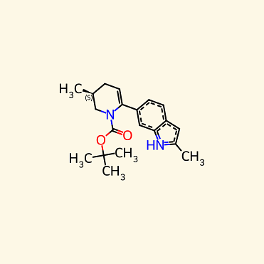 Cc1cc2ccc(C3=CC[C@H](C)CN3C(=O)OC(C)(C)C)cc2[nH]1